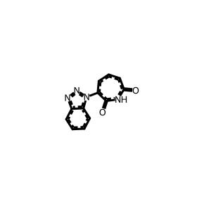 O=c1cccc(-n2nnc3ccccc32)c(=O)[nH]1